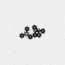 c1ccc(-c2nc(-c3ccccc3)nc(-c3cccc(-c4cccc(-c5nc6ccccc6c6oc(-c7ccccc7)c(-c7ccccc7)c56)c4)c3)n2)cc1